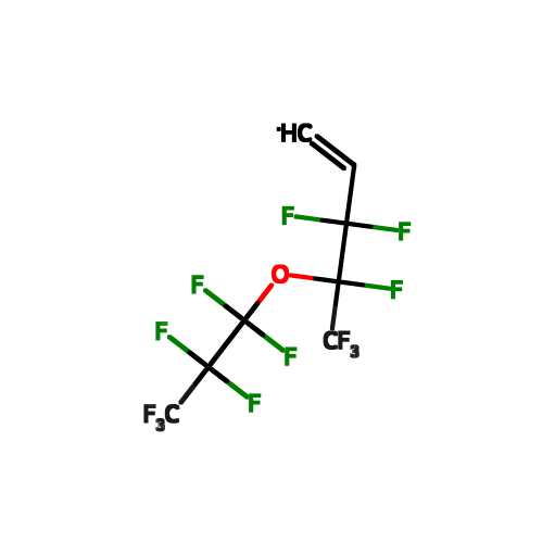 [CH]=CC(F)(F)C(F)(OC(F)(F)C(F)(F)C(F)(F)F)C(F)(F)F